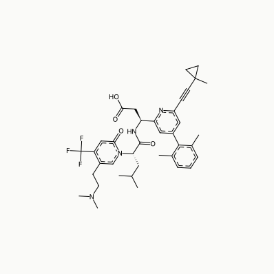 Cc1cccc(C)c1-c1cc(C#CC2(C)CC2)nc([C@H](CC(=O)O)NC(=O)[C@H](CC(C)C)n2cc(CCN(C)C)c(C(F)(F)F)cc2=O)c1